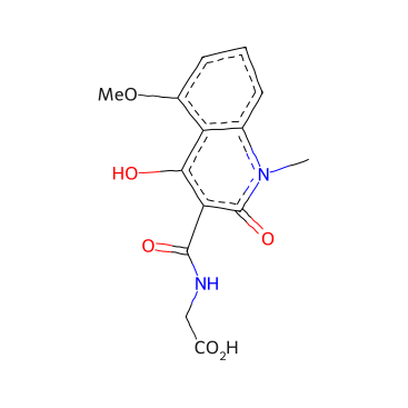 COc1cccc2c1c(O)c(C(=O)NCC(=O)O)c(=O)n2C